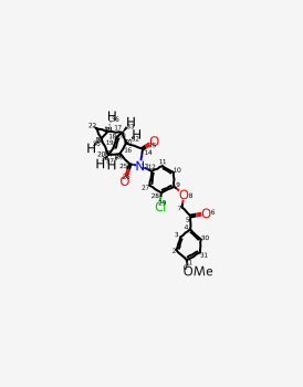 COc1ccc(C(=O)COc2ccc(N3C(=O)[C@@H]4[C@@H]5C=C[C@@H]([C@H]6C[C@@H]56)[C@@H]4C3=O)cc2Cl)cc1